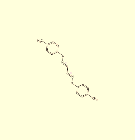 Cc1ccc(O/N=C/C=N/Oc2ccc(C)cc2)cc1